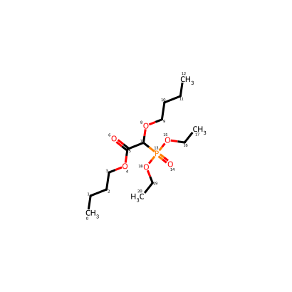 CCCCOC(=O)C(OCCCC)P(=O)(OCC)OCC